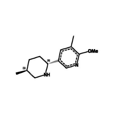 COc1ncc([C@H]2CC[C@H](C)CN2)cc1C